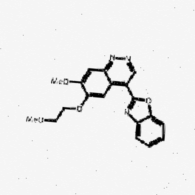 COCCOc1cc2c(-c3nc4ccccc4o3)cnnc2cc1OC